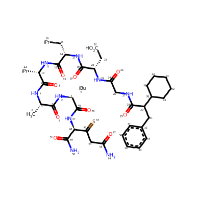 CC[C@H](C)[C@H](NC(=O)[C@H](C)NC(=O)[C@@H](NC(=O)[C@H](CC(C)C)NC(=O)[C@H](CC(=O)O)NC(=O)CNC(=O)C(Cc1ccccc1)C1CCCCC1)C(C)C)C(=O)N[C@H](C(N)=O)C(=S)CC(N)=O